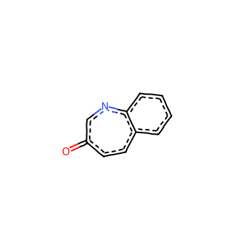 O=c1ccc2ccccc2nc1